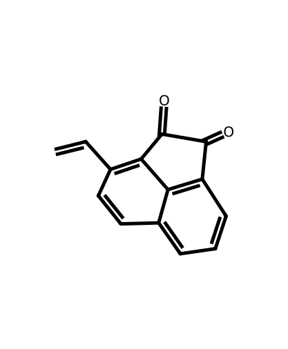 C=Cc1ccc2cccc3c2c1C(=O)C3=O